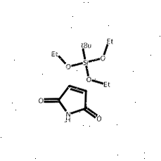 CCO[Si](OCC)(OCC)C(C)(C)C.O=C1C=CC(=O)N1